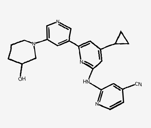 N#Cc1ccnc(Nc2cc(C3CC3)cc(-c3cncc(N4CCCC(O)C4)c3)n2)c1